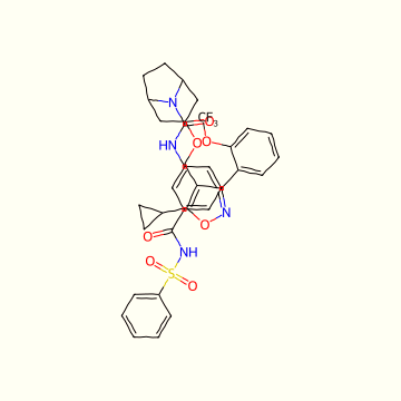 O=C(NS(=O)(=O)c1ccccc1)c1cccc(NC(=O)N2C3CCC2CC(OCc2c(-c4ccccc4OC(F)(F)F)noc2C2CC2)C3)c1